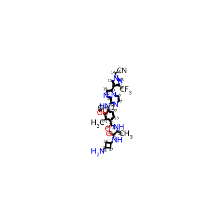 Cc1cc(Nc2nccn3c(-c4cn(CC#N)nc4C(F)(F)F)cnc23)ccc1C(=O)NC(C)C(=O)NC1CC(N)C1.O=CO